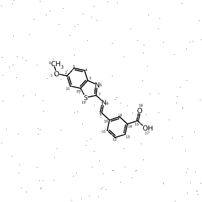 COc1ccc2nc(N=Cc3cccc(C(=O)O)c3)sc2c1